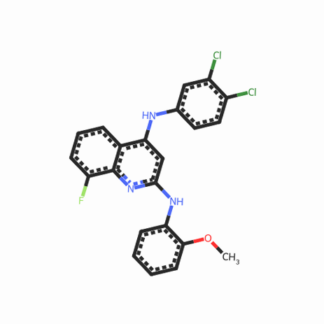 COc1ccccc1Nc1cc(Nc2ccc(Cl)c(Cl)c2)c2cccc(F)c2n1